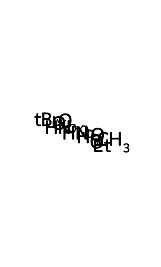 CCOC(C)OC1=CC[C@@H]2N[C@H](C3=CC=C(NC(=O)OC(C)(C)C)CC3)CCC2=C1